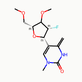 C=C1NC(=O)N(C)C=C1[C@@H]1O[C@H](COC)C(OC)[C@@H]1F